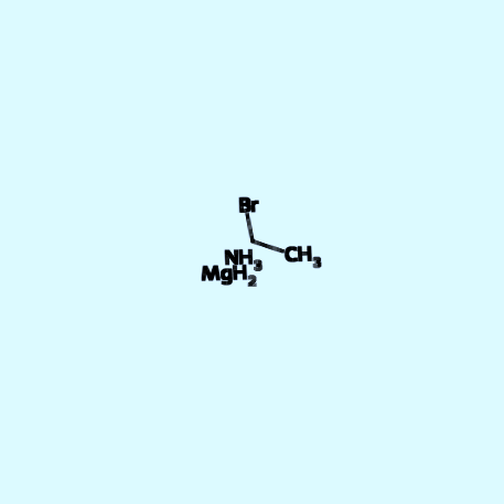 CCBr.N.[MgH2]